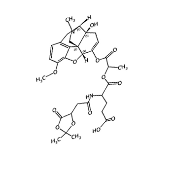 COc1ccc2c3c1O[C@H]1C(OC(=O)C(C)OC(=O)C(CCC(=O)O)NC(=O)CC4OC(C)(C)OC4=O)=CC[C@@]4(O)[C@@H](C2)N(C)CC[C@]314